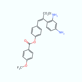 CCOC(=O)C(=Cc1ccc(OC(=O)c2ccc(OC(F)(F)F)cc2)cc1)c1ccc(N)cc1N